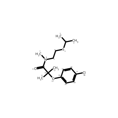 CC(C)SCCN(C)C(=O)C(C)(C)Oc1ccc(Cl)cc1